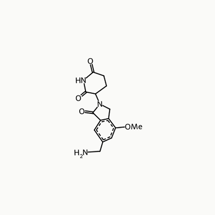 COc1cc(CN)cc2c1CN(C1CCC(=O)NC1=O)C2=O